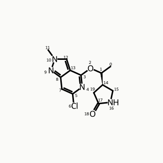 CC(Oc1nc(Cl)cc2nn(C)cc12)[C@H]1CNC(=O)C1